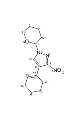 O=[N+]([O-])c1nn(C2CCCCO2)cc1C1=CCCCC1